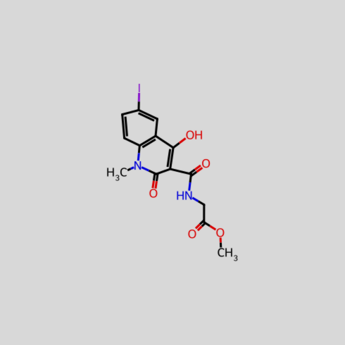 COC(=O)CNC(=O)c1c(O)c2cc(I)ccc2n(C)c1=O